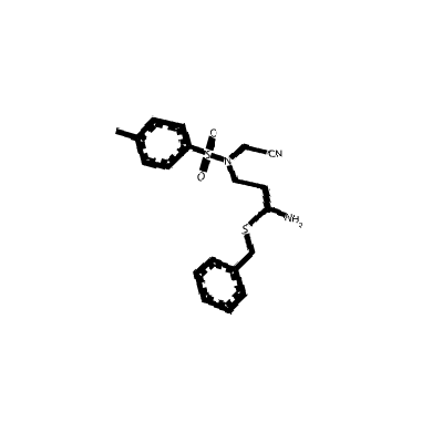 Cc1ccc(S(=O)(=O)N(CC#N)CCC(N)SCc2ccccc2)cc1